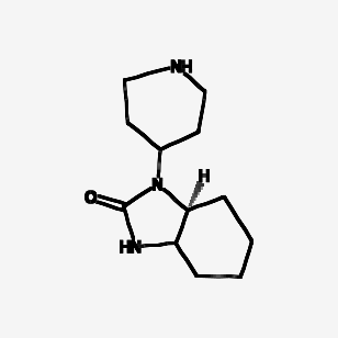 O=C1NC2CCCC[C@@H]2N1C1CCNCC1